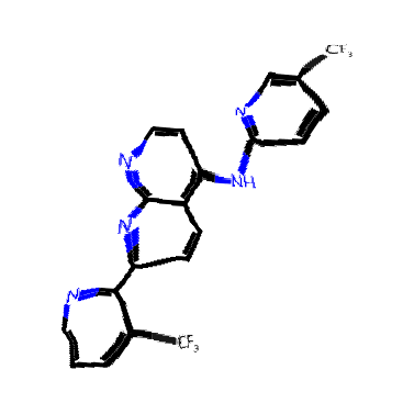 FC(F)(F)c1ccc(Nc2ccnc3nc(-c4ncccc4C(F)(F)F)ccc23)nc1